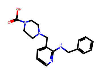 O=C(O)N1CCN(Cc2cccnc2NCc2ccccc2)CC1